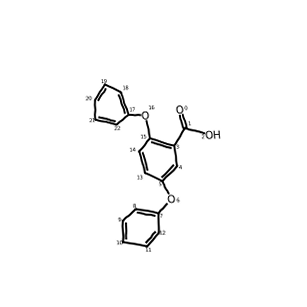 O=C(O)c1cc(Oc2ccccc2)ccc1Oc1ccccc1